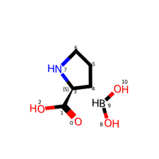 O=C(O)[C@@H]1CCCN1.OBO